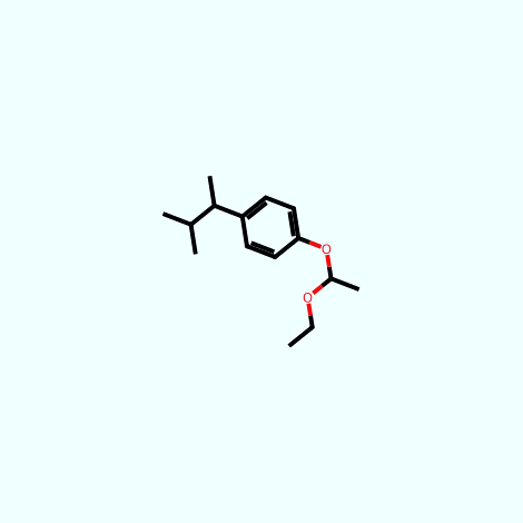 CCOC(C)Oc1ccc(C(C)C(C)C)cc1